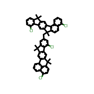 CC1(C)c2cc3c(cc2-c2c(Cl)cccc21)C(C)(Cc1cc(Cl)c2c(c1)C(C)(C)c1cc4c(cc1-2)C(C)(C)c1ccc(Cl)c2cccc-4c12)c1ccc2c(Cl)cccc2c1-3